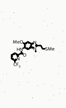 COc1cc2nc(CCSC)n(C)c2cc1NC(=O)c1cccc(C(F)(F)F)n1